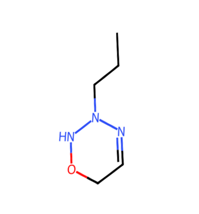 CCCN1N=CCON1